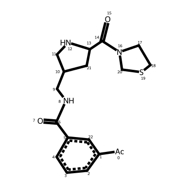 CC(=O)c1cccc(C(=O)NCC2CNC(C(=O)N3CCSC3)C2)c1